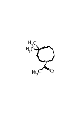 CC(=O)N1CCCCCC(C)(C)CC1